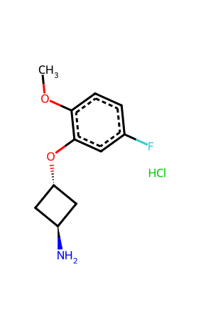 COc1ccc(F)cc1O[C@H]1C[C@H](N)C1.Cl